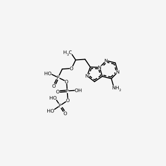 CC(Cc1ncc2c(N)ncnn12)OCP(=O)(O)OP(=O)(O)OP(=O)(O)O